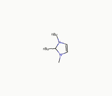 [CH2]CCCC1N(C)C=CN1CCCC